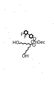 CCCCCCCCCCC(OC(=O)C(CCCCCCO)CCCCCCO)Oc1ccc(-c2cccc(F)c2F)cc1